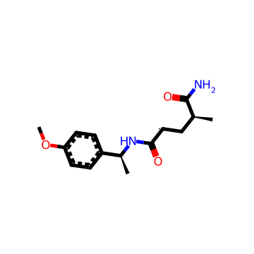 COc1ccc([C@H](C)NC(=O)[CH]C[C@H](C)C(N)=O)cc1